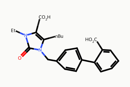 CCCCc1c(C(=O)O)n(CC)c(=O)n1Cc1ccc(-c2ccccc2C(=O)O)cc1